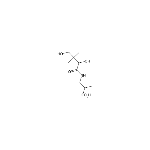 CC(CNC(=O)C(O)C(C)(C)CO)C(=O)O